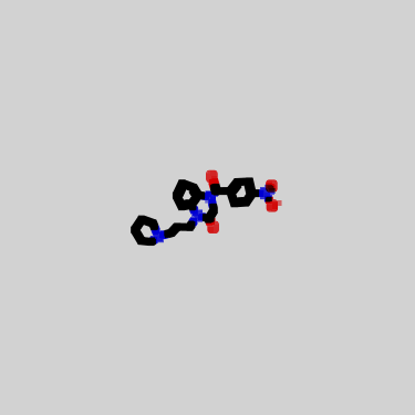 O=C1CN(C(=O)c2ccc([N+](=O)[O-])cc2)c2ccccc2N1CCCN1CCCCC1